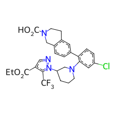 CCOC(=O)c1cnn(C2CCCN(c3cc(Cl)ccc3-c3ccc4c(c3)CCN(C(=O)O)C4)C2)c1C(F)(F)F